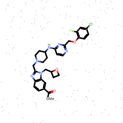 COC(=O)c1ccc2nc(CN3CCC(Nc4ccnc(COc5ccc(Cl)cc5F)n4)CC3)n(CC3CCO3)c2c1